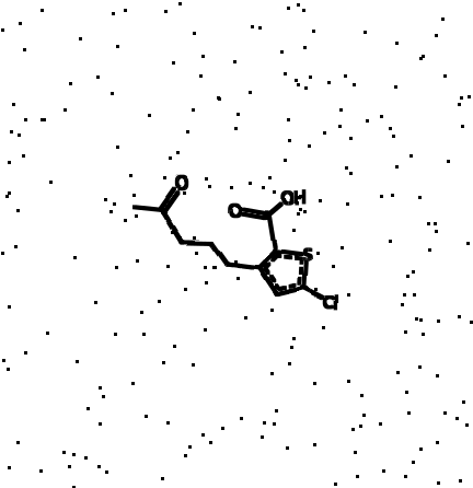 CC(=O)CCCc1cc(Cl)sc1C(=O)O